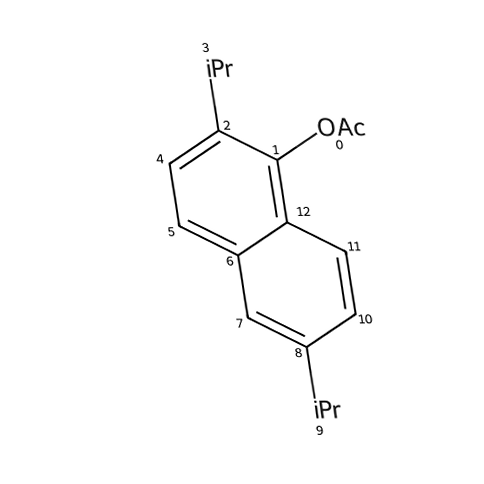 CC(=O)Oc1c(C(C)C)ccc2cc(C(C)C)ccc12